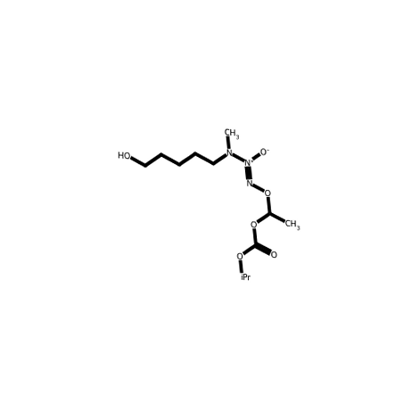 CC(C)OC(=O)OC(C)O/N=[N+](\[O-])N(C)CCCCCO